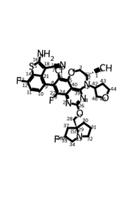 C#C[C@H]1COc2c(Cl)c(-c3ccc(F)c4sc(N)c(C#N)c34)c(F)c3nc(OC[C@@]45CCCN4C[C@H](F)C5)nc(c23)N1C1CCOC1